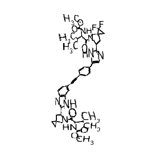 COC(=O)NC(C(=O)N1C[C@]2(C[C@H]1c1ncc(-c3ccc(C#Cc4ccc5nc([C@@H]6CC7(CC7)CN6C(=O)[C@@H](NC(=O)OC)C(C)C)[nH]c5c4)cc3)[nH]1)CC2(F)F)C(C)C